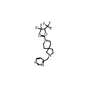 O=C(OC(C(F)(F)F)C(F)(F)F)N1CCC2(CCN(Cc3ccncn3)C2)CC1